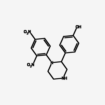 O=[N+]([O-])c1ccc(N2CCNCC2c2ccc(O)cc2)c([N+](=O)[O-])c1